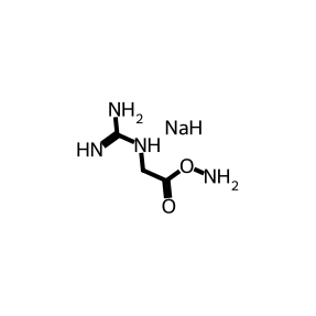 N=C(N)NCC(=O)ON.[NaH]